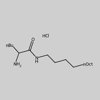 CCCCCCCCCCCCNC(=O)C(N)CCCC.Cl